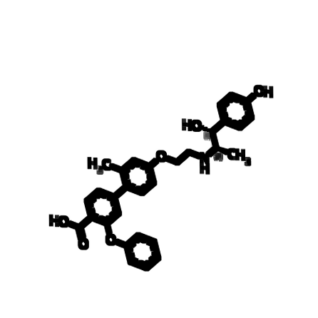 Cc1cc(OCCN[C@H](C)[C@H](O)c2ccc(O)cc2)ccc1-c1ccc(C(=O)O)c(Oc2ccccc2)c1